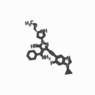 COC[C@H]1C[C@H](N2N=C(C#Cc3cc4ncn(C5CC5)c4cc3F)/C(=C(\N)C3CCCCC3)C2=N)CN1